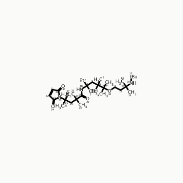 CCC(C)(CC(C)(CC)C(C)(C)OCCC(C)(C)NC(C)(C)C)NC(=O)C(C)(C)CC(C)(C)N1C(=O)C=CC1=O